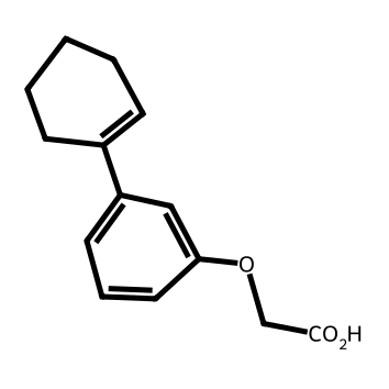 O=C(O)COc1cccc(C2=CCCCC2)c1